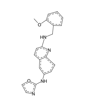 COc1ccccc1CNc1ccc2cc(Nc3ncco3)ccc2n1